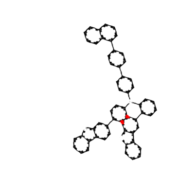 c1ccc(N(c2ccc(-c3ccc(-c4cccc5ccccc45)cc3)cc2)c2ccc(-c3ccc4c(c3)oc3ccccc34)cc2)c(-c2ccc3sc4ccccc4c3c2)c1